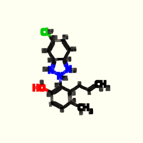 C=CCc1c(C)ccc(O)c1-n1nc2ccc(Cl)cc2n1